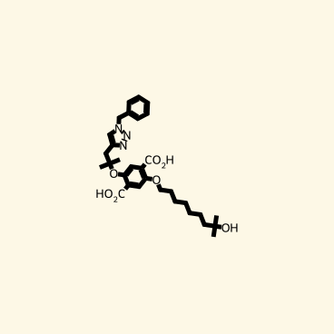 CC(C)(O)CCCCCCCOc1cc(C(=O)O)c(OC(C)(C)Cc2cn(Cc3ccccc3)nn2)cc1C(=O)O